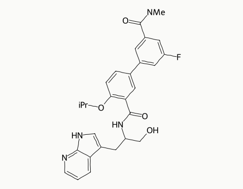 CNC(=O)c1cc(F)cc(-c2ccc(OC(C)C)c(C(=O)NC(CO)Cc3c[nH]c4ncccc34)c2)c1